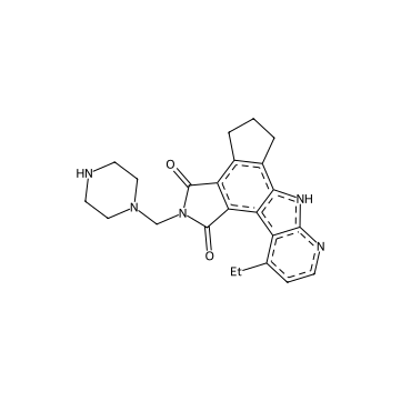 CCc1ccnc2[nH]c3c4c(c5c(c3c12)C(=O)N(CN1CCNCC1)C5=O)CCC4